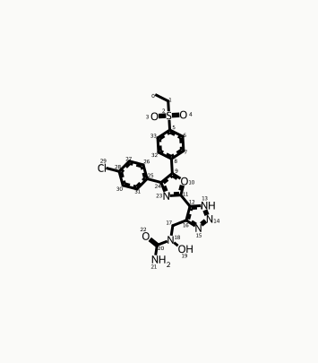 CCS(=O)(=O)c1ccc(-c2oc(-c3[nH]nnc3CN(O)C(N)=O)nc2-c2ccc(Cl)cc2)cc1